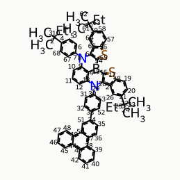 CCC(C)(C)c1ccc(N2c3cccc4c3B(c3sc5ccc(C(C)(C)CC)cc5c3N4c3ccc(-c4ccc5c6ccccc6c6ccccc6c5c4)cc3)c3sc4ccc(C(C)(C)CC)cc4c32)cc1